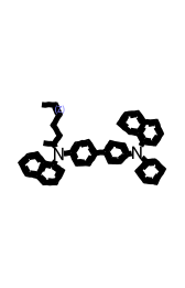 C/C=C\CCC(C)N(c1ccc(-c2ccc(N(c3ccccc3)c3cccc4ccccc34)cc2)cc1)c1cccc2ccccc12